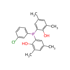 Cc1cc(C)c(O)c(P(c2cccc(Cl)c2)c2cc(C)cc(C)c2O)c1